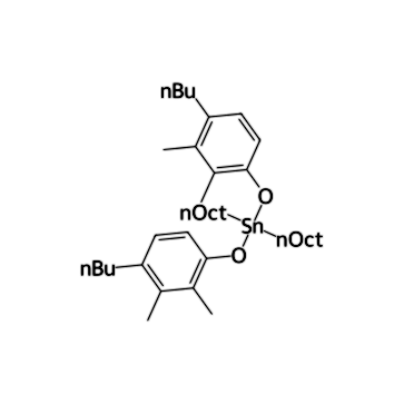 CCCCCCC[CH2][Sn]([CH2]CCCCCCC)([O]c1ccc(CCCC)c(C)c1C)[O]c1ccc(CCCC)c(C)c1C